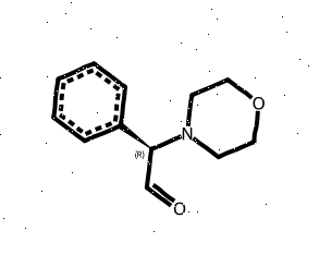 O=C[C@@H](c1ccccc1)N1CCOCC1